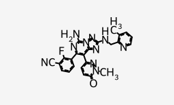 Cc1cccnc1CNc1nc2c(-c3ccc(=O)n(C)n3)c(-c3cccc(C#N)c3F)nc(N)n2n1